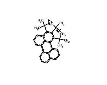 CC(C)(C)c1c(C(C)(C)C)c2cccc3c4cccc5cccc(c(c1C(C)(C)C)c23)c54